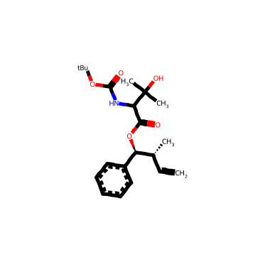 C=C[C@@H](C)[C@H](OC(=O)C(NC(=O)OC(C)(C)C)C(C)(C)O)c1ccccc1